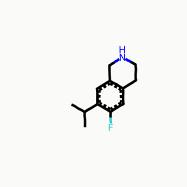 CC(C)c1cc2c(cc1F)CCNC2